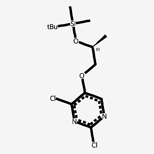 C[C@@H](COc1cnc(Cl)nc1Cl)O[Si](C)(C)C(C)(C)C